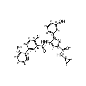 O=C(NC1CC1)c1cc(NC(=O)c2cc(-c3ncccc3F)ccc2Cl)n(-c2cccc(O)c2)n1